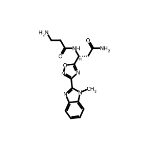 Cn1c(-c2noc([C@@H](CC(N)=O)NC(=O)CCN)n2)nc2ccccc21